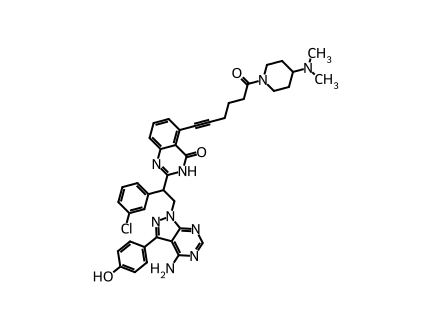 CN(C)C1CCN(C(=O)CCCC#Cc2cccc3nc(C(Cn4nc(-c5ccc(O)cc5)c5c(N)ncnc54)c4cccc(Cl)c4)[nH]c(=O)c23)CC1